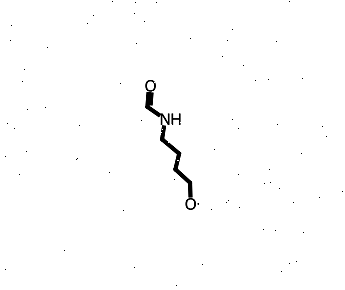 [O]CCCCNC=O